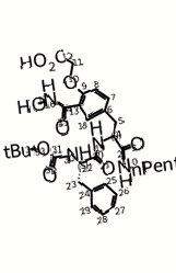 CCCCCNC(=O)[C@H](Cc1ccc(OCC(=O)O)c(C(=O)NO)c1)NC(=O)[C@H](Cc1ccccc1)NC(=O)OC(C)(C)C